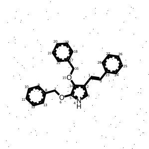 C(=Cc1c[nH]c(OCc2ccccc2)c1OCc1ccccc1)c1ccccc1